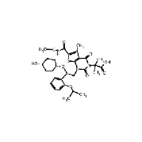 CCNC(=O)c1sc2c(c1C)c(=O)n(C(C)(C)C(=O)O)c(=O)n2C[C@H](O[C@H]1CC[C@@H](O)CC1)c1ccccc1OC(C)C